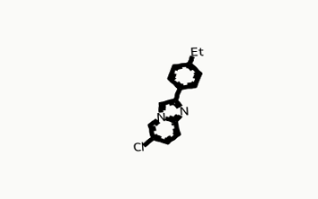 CCc1ccc(-c2cn3cc(Cl)ccc3n2)cc1